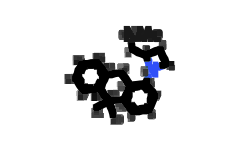 CNCC1CCN1c1cccc2c1Cc1ccccc1C2(C)C